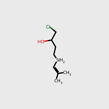 CC(C)=C[SiH2]CCC(O)CCl